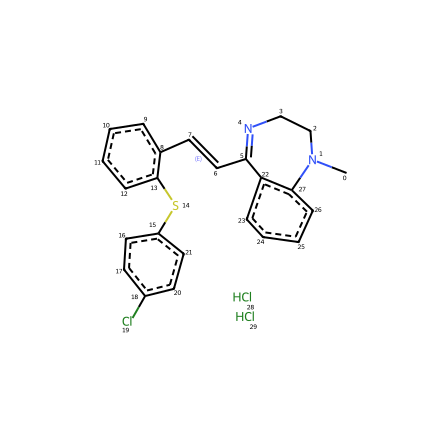 CN1CCN=C(/C=C/c2ccccc2Sc2ccc(Cl)cc2)c2ccccc21.Cl.Cl